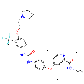 CNC(=O)c1cc(Oc2ccc(NC(=O)Nc3ccc(OCCN4CCCC4)c(C(F)(F)F)c3)cc2)ccn1